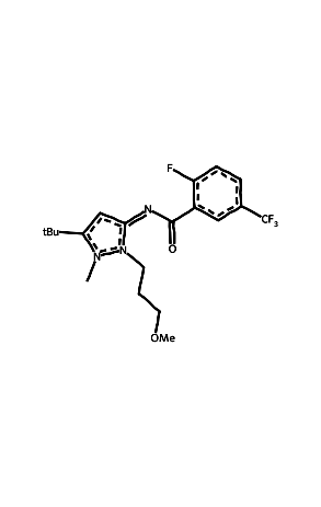 COCCCn1c(=NC(=O)c2cc(C(F)(F)F)ccc2F)cc(C(C)(C)C)n1C